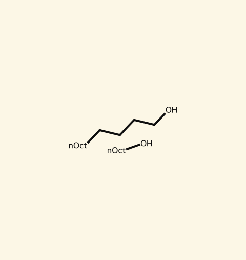 CCCCCCCCCCCCO.CCCCCCCCO